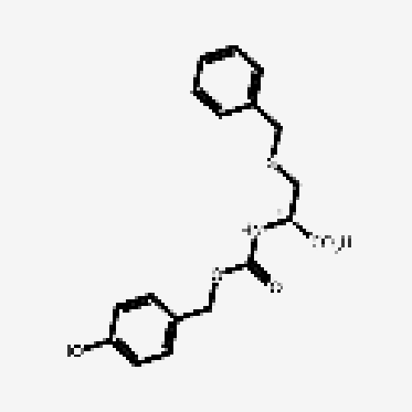 O=C(N[C@@H](CSCc1ccccc1)C(=O)O)OCc1ccc(O)cc1